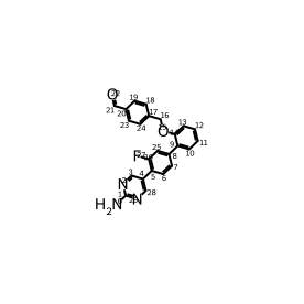 Nc1ncc(-c2ccc(-c3ccccc3OCc3ccc(C=O)cc3)cc2F)cn1